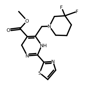 COC(=O)C1=C(CN2CCCC(F)(F)C2)NC(c2nccs2)=NC1